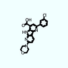 O=C(O)c1cc(-c2cccc(Cl)c2)nc2c1[nH]c1nc(N3CCOCC3)ccc12